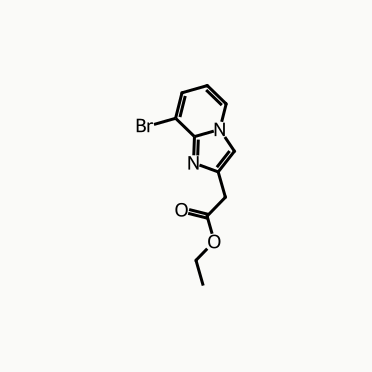 CCOC(=O)Cc1cn2cccc(Br)c2n1